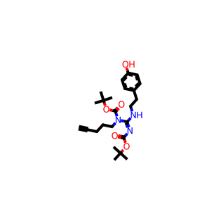 C#CCCCN(C(=O)OC(C)(C)C)/C(=N\C(=O)OC(C)(C)C)NCCc1ccc(O)cc1